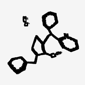 [Cl-].[Cl-].[Cr+2][C]1=C(C(c2ccccc2)c2ccccn2)CC=C1Cc1ccccc1